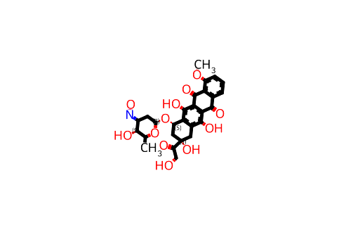 COc1cccc2c1C(=O)c1c(O)c3c(c(O)c1C2=O)C[C@@](O)(C(=O)CO)C[C@@H]3O[C@H]1CC(N=O)[C@H](O)C(C)O1